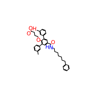 Cc1cccc(-c2cc(C(=O)NCCCCCCCc3ccccc3)cc(-c3cccc(C)c3)c2OCCCC(=O)O)c1